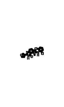 Cn1c(Nc2c(Cl)cccc2Cl)cc2ccc3nc(-c4ccoc4)[nH]c(=O)c3c21